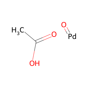 CC(=O)O.[O]=[Pd]